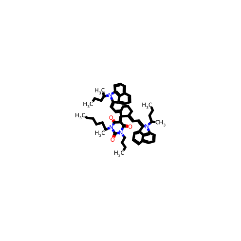 CCCCCC(C)N1C(=O)C(=C2/C(=C/C=c3\c4cccc5cccc(c54)n3C(C)CCC)CCC/C2=C\C=c2/c3cccc4cccc(c43)n2C(C)CCC)C(=O)N(CCCC)C1=O